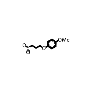 COc1ccc(OCCC[SH](=O)=O)cc1